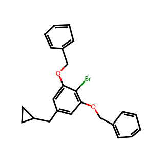 Brc1c(OCc2ccccc2)cc(CC2CC2)cc1OCc1ccccc1